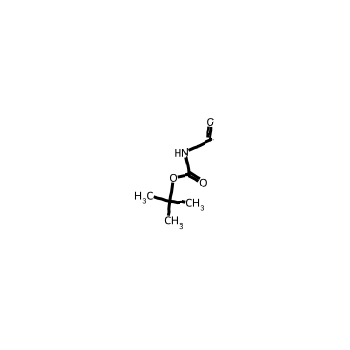 CC(C)(C)OC(=O)N[C]=O